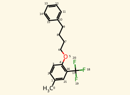 Cc1ccc(OCCCCc2ccccc2)c(C(F)(F)F)c1